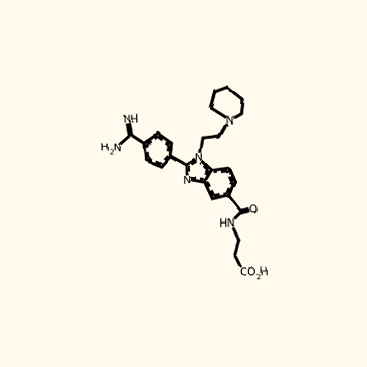 N=C(N)c1ccc(-c2nc3cc(C(=O)NCCC(=O)O)ccc3n2CCN2CCCCC2)cc1